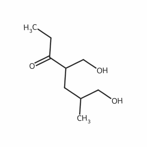 CCC(=O)C(CO)CC(C)CO